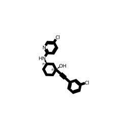 O[C@]1(C#Cc2cccc(Cl)c2)CCC[C@@H](Nc2ccc(Cl)cn2)C1